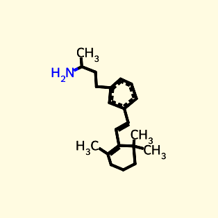 CC1=C(C=Cc2cccc(CCC(C)N)c2)C(C)(C)CCC1